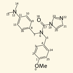 COc1ccc(CN(Cc2ccc(N(C)C)cc2)C(=O)n2ccnc2)cc1